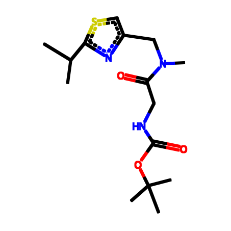 CC(C)c1nc(CN(C)C(=O)CNC(=O)OC(C)(C)C)cs1